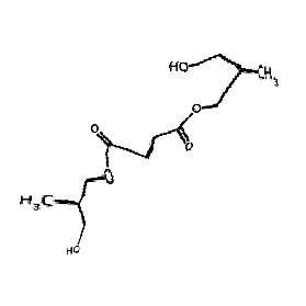 CC(CO)COC(=O)CCC(=O)OCC(C)CO